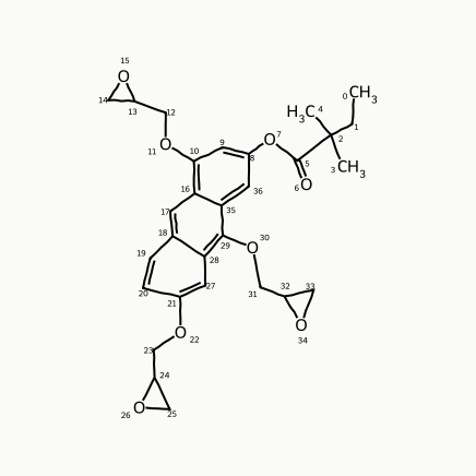 CCC(C)(C)C(=O)Oc1cc(OCC2CO2)c2cc3ccc(OCC4CO4)cc3c(OCC3CO3)c2c1